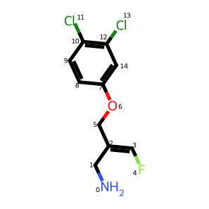 NCC(=CF)COc1ccc(Cl)c(Cl)c1